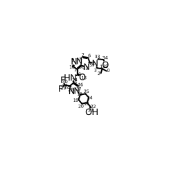 CC1(C)CN(c2ccn3ncc(C(=O)Nc4cn(C5CCC(CO)CC5)nc4C(F)F)c3n2)CCO1